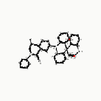 Cc1cn(-c2ccccc2)c(=O)c2cc(N3c4ccccc4C4(c5ccccc5Sc5ccccc54)c4ccccc43)ccc12